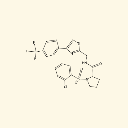 O=C(NCc1nc(-c2ccc(C(F)(F)F)cc2)cs1)[C@@H]1CCCN1S(=O)(=O)c1ccccc1Cl